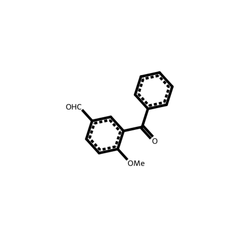 COc1ccc(C=O)cc1C(=O)c1ccccc1